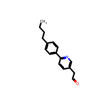 CCCCc1ccc(-c2ccc(CC=O)cn2)cc1